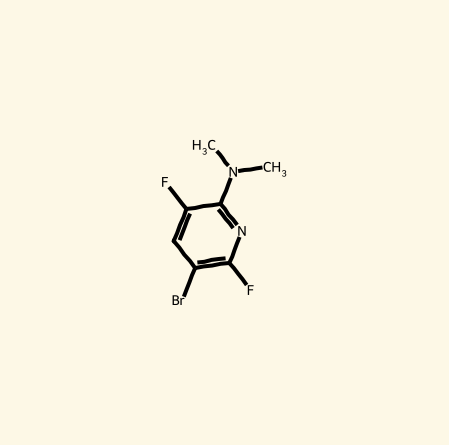 CN(C)c1nc(F)c(Br)cc1F